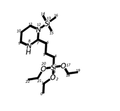 CCO[Si](CCCC1NCCCN1[Si](C)(C)C)(OCC)OCC